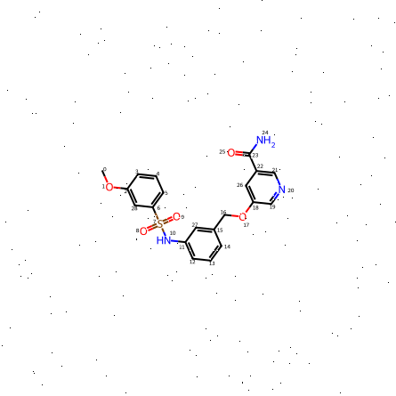 COc1cccc(S(=O)(=O)Nc2cccc(COc3cncc(C(N)=O)c3)c2)c1